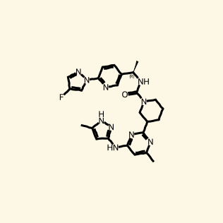 Cc1cc(Nc2cc(C)[nH]n2)nc(C2CCCN(C(=O)N[C@H](C)c3ccc(-n4cc(F)cn4)nc3)C2)n1